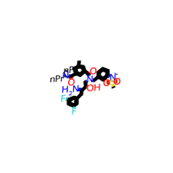 CCCN(CCC)C(=O)c1cc(C)cc(C(=O)N(Cc2cccc(N(C)S(C)(=O)=O)c2)CC(O)C(N)Cc2cc(F)cc(F)c2)c1